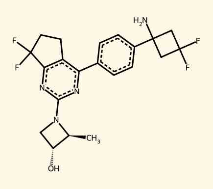 C[C@H]1[C@H](O)CN1c1nc(-c2ccc(C3(N)CC(F)(F)C3)cc2)c2c(n1)C(F)(F)CC2